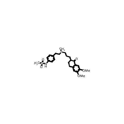 COc1cc2c(cc1OC)C(=O)C(CCCN(C)CCc1ccc(NS(C)(=O)=O)cc1)CC2